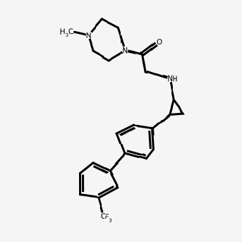 CN1CCN(C(=O)CNC2CC2c2ccc(-c3cccc(C(F)(F)F)c3)cc2)CC1